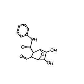 O=CC1C2OC(C(O)C2O)C1C(=O)Nc1ccccc1